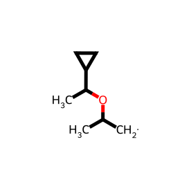 [CH2]C(C)OC(C)C1CC1